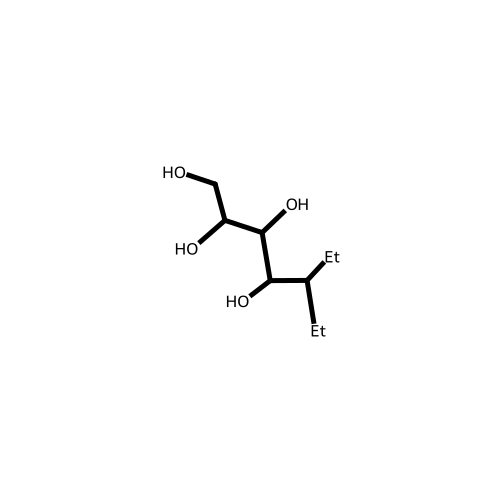 CCC(CC)C(O)C(O)C(O)CO